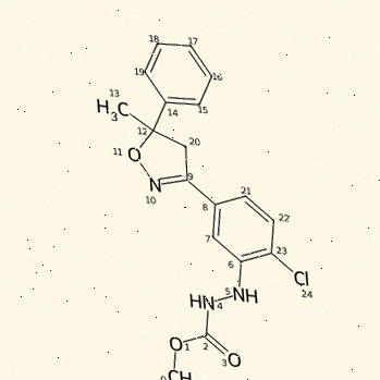 COC(=O)NNc1cc(C2=NOC(C)(c3ccccc3)C2)ccc1Cl